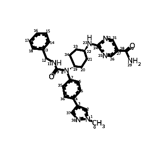 Cn1cc(-c2ccc(N(C(=O)NCc3ccccc3)[C@H]3CC[C@H](Nc4ncc(C(N)=O)cn4)CC3)cc2)cn1